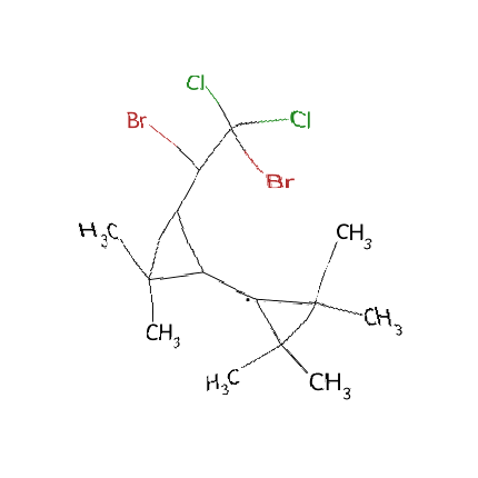 CC1(C)C([C]2C(C)(C)C2(C)C)C1C(Br)C(Cl)(Cl)Br